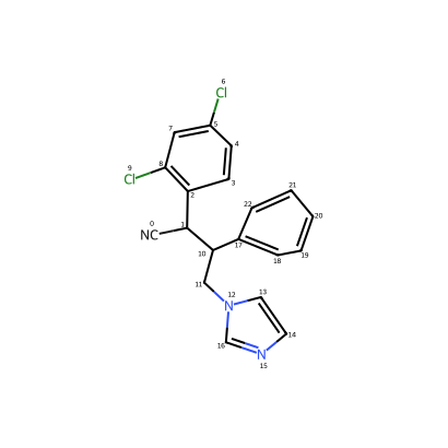 N#CC(c1ccc(Cl)cc1Cl)C(Cn1ccnc1)c1ccccc1